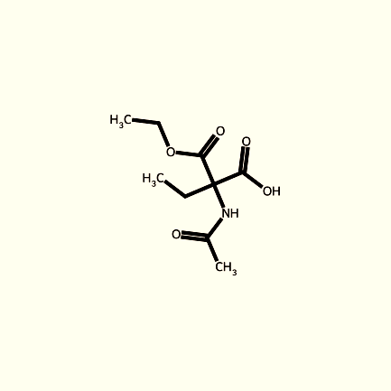 CCOC(=O)C(CC)(NC(C)=O)C(=O)O